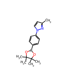 Cc1ccn(-c2ccc(B3OC(C)(C)C(C)(C)O3)cc2)n1